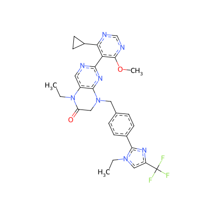 CCN1C(=O)CN(Cc2ccc(-c3nc(C(F)(F)F)cn3CC)cc2)c2nc(-c3c(OC)ncnc3C3CC3)ncc21